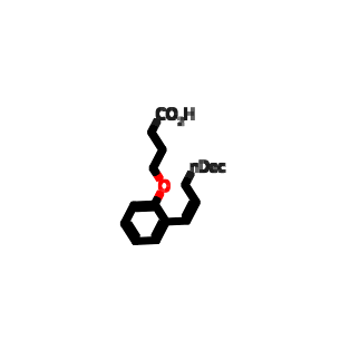 CCCCCCCCCCC/C=C\c1ccccc1OCCCC(=O)O